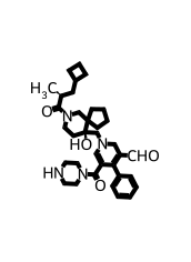 C[C@H](CC1CCC1)C(=O)N1CC[C@@](O)(CN2C=C(C(=O)N3CCNCC3)C(c3ccccc3)=C(C=O)C2)C2(CCCC2)C1